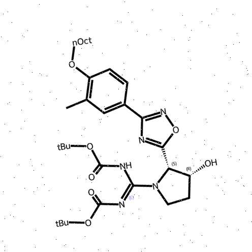 CCCCCCCCOc1ccc(-c2noc([C@@H]3[C@H](O)CCN3/C(=N/C(=O)OC(C)(C)C)NC(=O)OC(C)(C)C)n2)cc1C